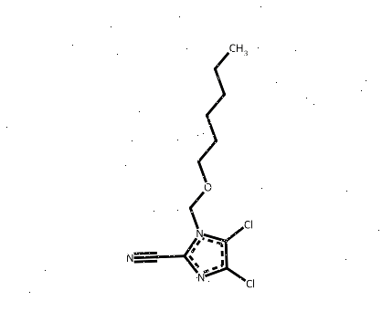 CCCCCCOCn1c(C#N)nc(Cl)c1Cl